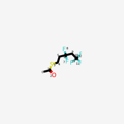 CC(=O)SCCC(F)(F)CC(F)(F)F